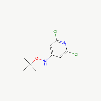 CC(C)(C)ONc1cc(Cl)nc(Cl)c1